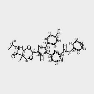 CC(C)NC(=O)C1(C)COC(c2nc(-c3ccc(F)cc3)c(-c3ccnc(NCc4ccncc4)n3)[nH]2)OC1